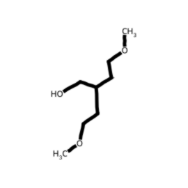 COC[CH]C(CO)CCOC